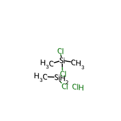 C[SiH2]Cl.C[Si](C)(Cl)Cl.Cl